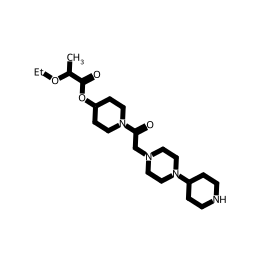 CCOC(C)C(=O)OC1CCN(C(=O)CN2CCN(C3CCNCC3)CC2)CC1